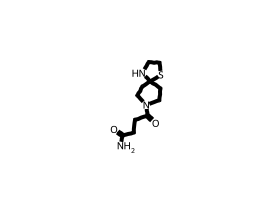 NC(=O)CCC(=O)N1CCC2(CC1)NCCS2